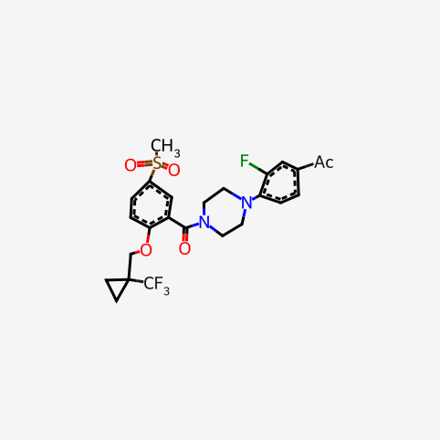 CC(=O)c1ccc(N2CCN(C(=O)c3cc(S(C)(=O)=O)ccc3OCC3(C(F)(F)F)CC3)CC2)c(F)c1